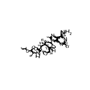 CCOC(=O)[C@H](C)NP1(=O)C[C@H]2[C@H](F)[C@H](n3cnc4c(N)nc(Cl)nc43)O[C@@H]2CO1